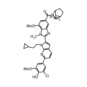 COc1cc(-c2ccc3cc(-c4nc5cc(C(=O)N6CC7CCC6[C@@H]7N)cc(OC)c5n4C)n(CCC4CC4)c3n2)cc(Cl)c1O